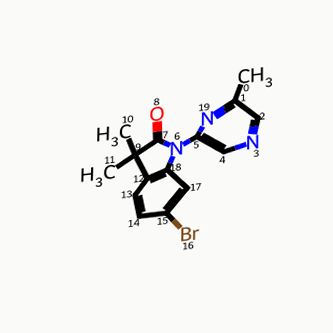 Cc1cncc(N2C(=O)C(C)(C)c3ccc(Br)cc32)n1